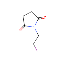 O=C1CCC(=O)N1CCI